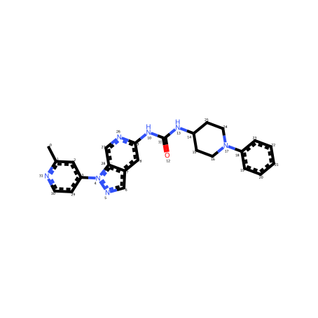 Cc1cc(-n2ncc3cc(NC(=O)NC4CCN(c5ccccc5)CC4)ncc32)ccn1